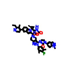 CCc1nccc(-c2ccc3c(c2)cc(C(=O)N2CCc4nn(-c5cc(C)c(F)c(C)c5)c(-n5ccn(-c6ccc7c(cnn7C)c6)c5=O)c4C2)n3[C@@]2(c3noc(=O)[nH]3)C[C@@H]2C)c1C